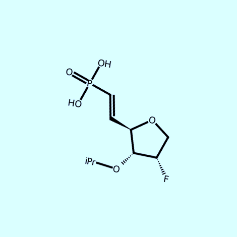 CC(C)O[C@H]1[C@@H](F)CO[C@@H]1/C=C/P(=O)(O)O